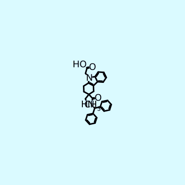 CCC1(C(=O)NC(c2ccccc2)c2ccccc2)CCc2c(c3ccccc3n2CC(=O)O)C1